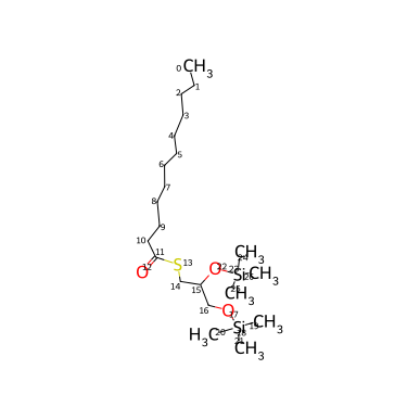 CCCCCCCCCCCC(=O)SCC(CO[Si](C)(C)C)O[Si](C)(C)C